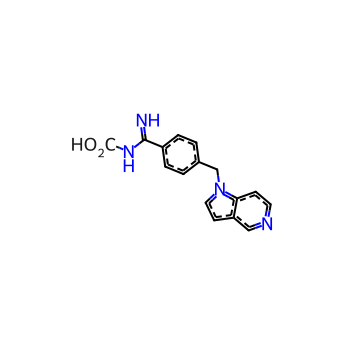 N=C(NC(=O)O)c1ccc(Cn2ccc3cnccc32)cc1